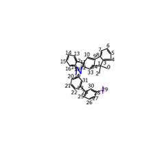 CC1(C)c2ccccc2-c2cc3c4ccccc4n(-c4cccc(-c5cccc(I)c5)c4)c3cc21